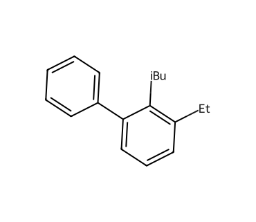 CCc1cccc(-c2ccccc2)c1C(C)CC